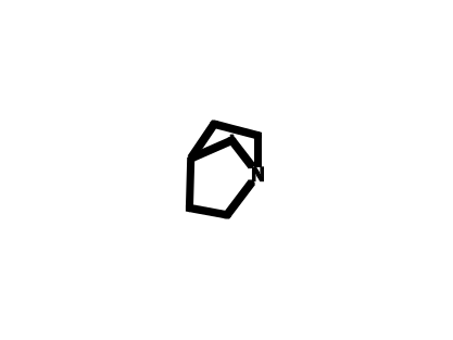 [CH]1C2CCN1CC2